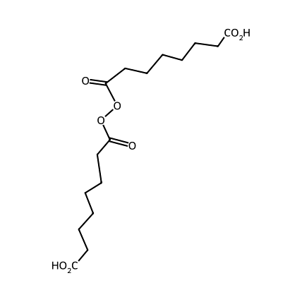 O=C(O)CCCCCCC(=O)OOC(=O)CCCCCCC(=O)O